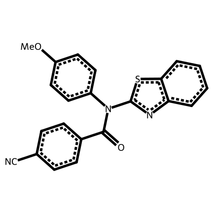 COc1ccc(N(C(=O)c2ccc(C#N)cc2)c2nc3ccccc3s2)cc1